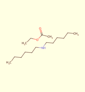 CCCCCCNCCCCCC.CCOC(C)=O